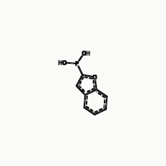 OP(O)c1cc2ccccc2o1